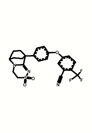 N#Cc1cc(Oc2ccc(C34CCC(CC3)N3CCS(=O)(=O)N=C34)cc2)ccc1C(F)(F)F